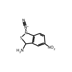 N#[N+]N1SC(N)c2cc([N+](=O)[O-])ccc21